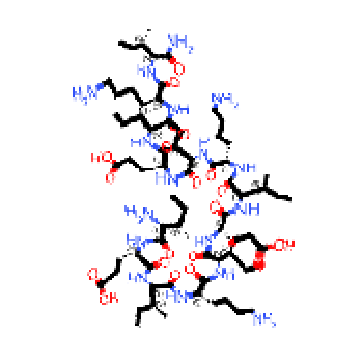 CC[C@H](C)[C@H](N)C(=O)N[C@@H](CCC(=O)O)C(=O)N[C@H](C(=O)N[C@@H](CCCCN)C(=O)N[C@H](C(=O)N[C@@H](CCC(=O)O)C(=O)N[C@H](C(=O)N[C@@H](CCCCN)C(=O)N[C@H](C(=O)N[C@@H](CCC(=O)O)C(=O)N[C@H](C(=O)N[C@@H](CCCCN)C(=O)N[C@H](C(N)=O)[C@@H](C)CC)[C@@H](C)CC)[C@@H](C)CC)[C@@H](C)CC)[C@@H](C)CC)[C@@H](C)CC